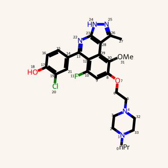 CCCN1CCN(CCOc2cc(F)c3c(-c4ccc(O)c(Cl)c4)nc4[nH]nc(C)c4c3c2OC)CC1